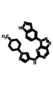 CN1CCC(n2cc(Nc3ncc4nnn(-c5ccc6[nH]ncc6c5)c4n3)cn2)CC1